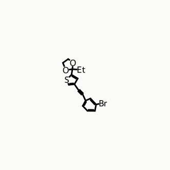 CCC1(c2cc(C#Cc3cccc(Br)c3)cs2)OCCO1